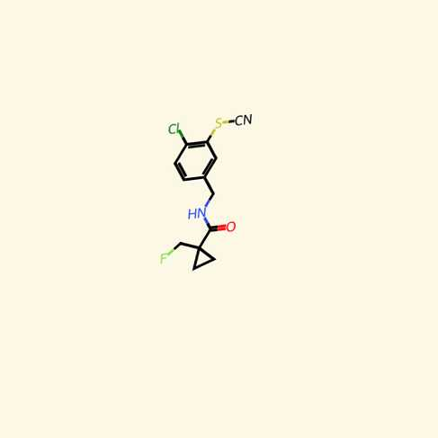 N#CSc1cc(CNC(=O)C2(CF)CC2)ccc1Cl